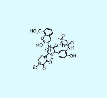 CCN1CCN(C(=O)NC(C(=O)N[C@H]2Cc3cccc(C(=O)O)c3OB2O)c2ccc(O)c(NS(=O)(=O)CS(C)(=O)=O)c2)C(=O)C1=O